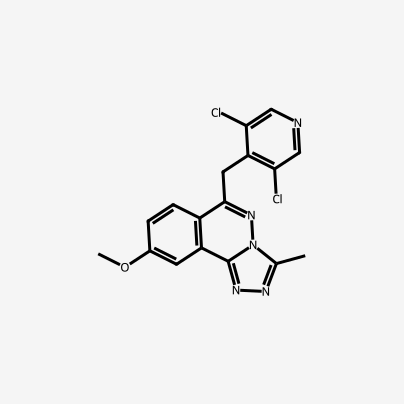 COc1ccc2c(Cc3c(Cl)cncc3Cl)nn3c(C)nnc3c2c1